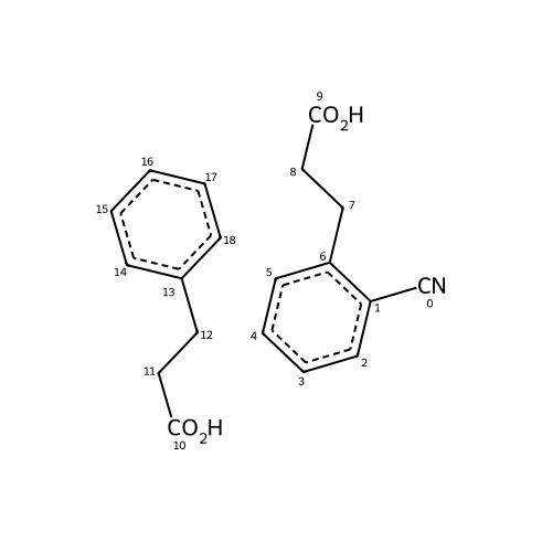 N#Cc1ccccc1CCC(=O)O.O=C(O)CCc1ccccc1